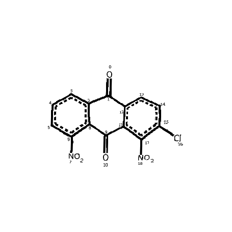 O=C1c2cccc([N+](=O)[O-])c2C(=O)c2c1ccc(Cl)c2[N+](=O)[O-]